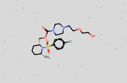 C[C@@H]1CCC[C@H](COC(=O)N2CCN(CCOCCO)CC2)N1S(=O)(=O)c1ccc(Cl)cc1